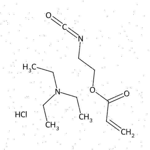 C=CC(=O)OCCN=C=O.CCN(CC)CC.Cl